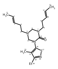 C/C=C/CCN1CN(CC/C=C/C)C(=O)N(c2snc(CC)c2C)C1